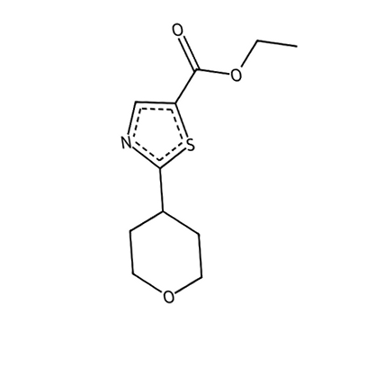 CCOC(=O)c1cnc(C2CCOCC2)s1